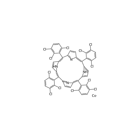 Clc1ccc(Cl)c(-c2c3nc(c(-c4c(Cl)ccc(Cl)c4Cl)c4ccc([nH]4)c(-c4c(Cl)ccc(Cl)c4Cl)c4nc(c(-c5c(Cl)ccc(Cl)c5Cl)c5ccc2[nH]5)C=C4)C=C3)c1Cl.[Co]